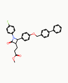 COC(=O)CCC1C(=O)N(c2ccc(F)cc2)C1c1ccc(OCc2ccc(-c3ccccc3)cc2)cc1